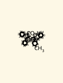 CC1CCC2(CC1)N[C@H](C[C@@](O)(Cc1ccccc1)N(C(=O)O)c1ccccc1)C(=O)N2Cc1ccccc1